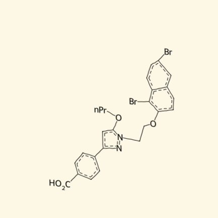 CCCOc1cc(-c2ccc(C(=O)O)cc2)nn1CCOc1ccc2cc(Br)ccc2c1Br